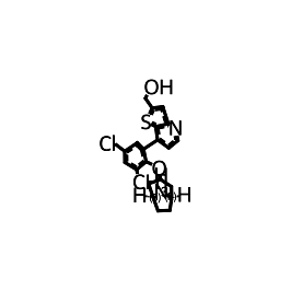 Cc1cc(Cl)cc(-c2ccnc3cc(CO)sc23)c1OC1C[C@H]2CC[C@@H](C1)N2